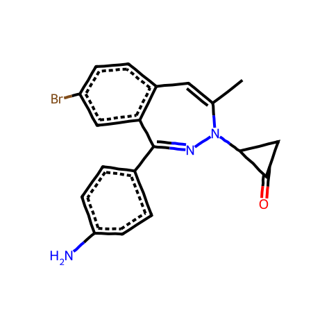 CC1=Cc2ccc(Br)cc2C(c2ccc(N)cc2)=NN1C1CC1=O